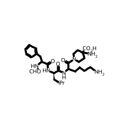 CC(C)C[C@@H](NC(=O)C(Cc1ccccc1)NC=O)C(=O)NC(CCCCN)C(=O)N1CCC(N)(C(=O)O)CC1